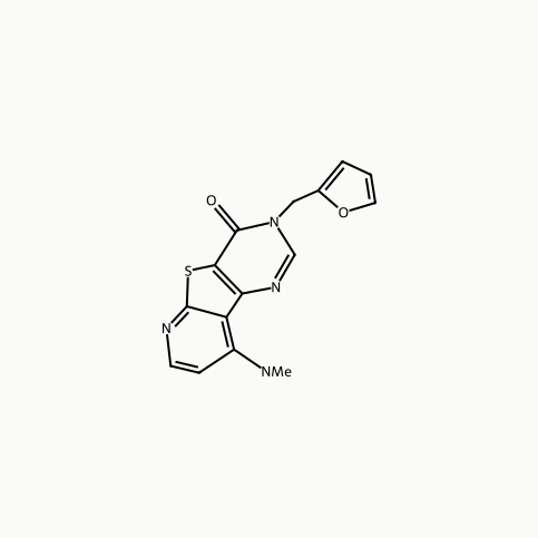 CNc1ccnc2sc3c(=O)n(Cc4ccco4)cnc3c12